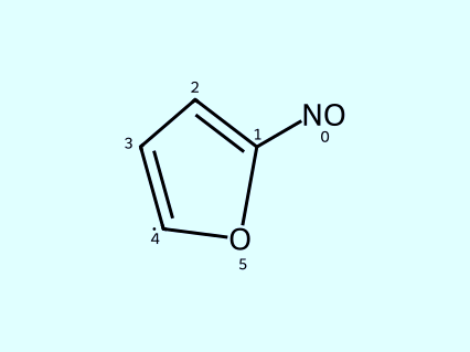 O=Nc1cc[c]o1